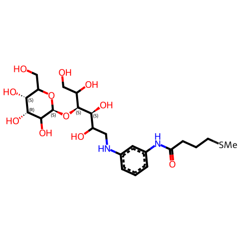 CSCCCC(=O)Nc1cccc(NCC(O)[C@H](O)[C@@H](O[C@@H]2OC(CO)[C@@H](O)[C@@H](O)C2O)C(O)CO)c1